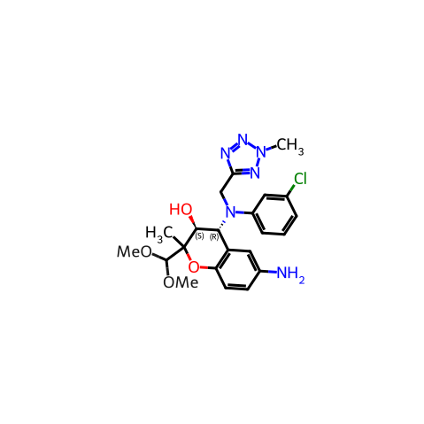 COC(OC)C1(C)Oc2ccc(N)cc2[C@@H](N(Cc2nnn(C)n2)c2cccc(Cl)c2)[C@@H]1O